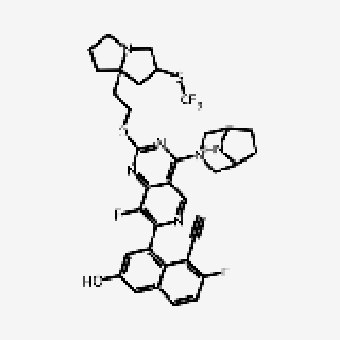 C#Cc1c(F)ccc2cc(O)cc(-c3ncc4c(N5CC6CCC(C5)N6)nc(OCCC56CCCN5CC(SC(F)(F)F)C6)nc4c3F)c12